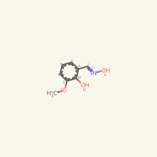 COc1cccc(/C=N/O)c1O